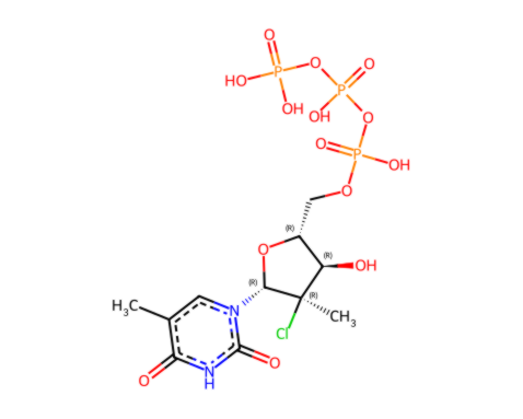 Cc1cn([C@@H]2O[C@H](COP(=O)(O)OP(=O)(O)OP(=O)(O)O)[C@@H](O)[C@@]2(C)Cl)c(=O)[nH]c1=O